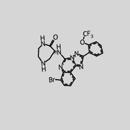 O=C1NCCNC[C@H]1Nc1nc2c(Br)cccc2c2nc(-c3ccccc3OC(F)(F)F)nn12